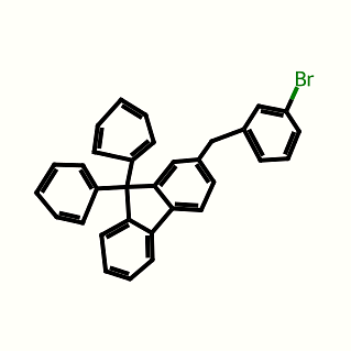 Brc1cccc(Cc2ccc3c(c2)C(c2ccccc2)(c2ccccc2)c2ccccc2-3)c1